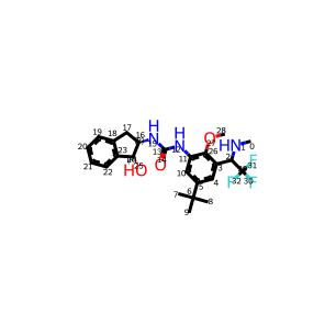 CNC(c1cc(C(C)(C)C)cc(NC(=O)N[C@@H]2Cc3ccccc3[C@H]2O)c1OC)C(F)(F)F